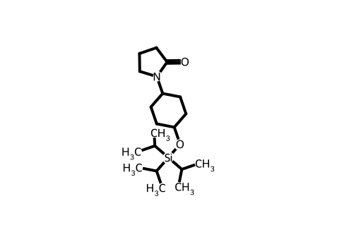 CC(C)[Si](OC1CCC(N2CCCC2=O)CC1)(C(C)C)C(C)C